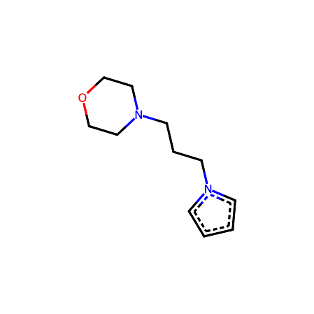 c1ccn(CCCN2CCOCC2)c1